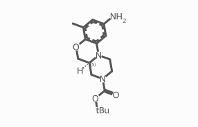 Cc1cc(N)cc2c1OC[C@@H]1CN(C(=O)OC(C)(C)C)CCN21